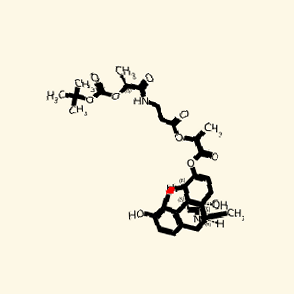 CC(OC(=O)CCNC(=O)[C@H](C)OC(=O)OC(C)(C)C)C(=O)OC1=CC[C@@]2(O)[C@H]3Cc4ccc(O)c5c4[C@@]2(CCN3C)[C@H]1O5